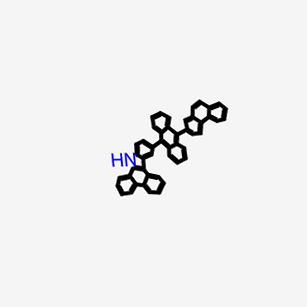 c1ccc2c(c1)ccc1cc(-c3c4ccccc4c(-c4ccc5[nH]c6c7ccccc7c7ccccc7c6c5c4)c4ccccc34)ccc12